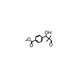 COC(=O)c1ccc(C(O)C(C)(C)C=O)cc1